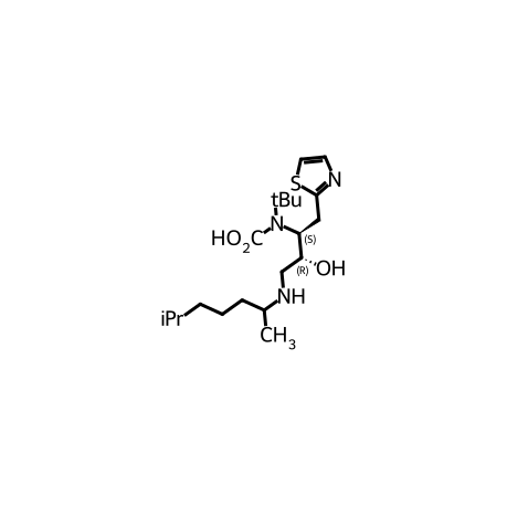 CC(C)CCCC(C)NC[C@@H](O)[C@H](Cc1nccs1)N(C(=O)O)C(C)(C)C